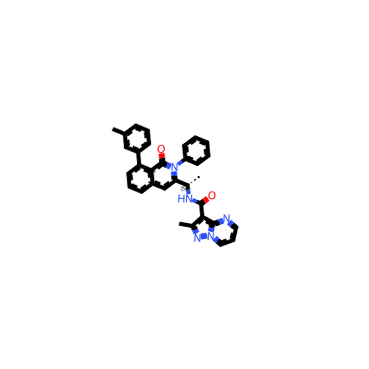 Cc1cccc(-c2cccc3cc([C@H](C)NC(=O)c4c(C)nn5cccnc45)n(-c4ccccc4)c(=O)c23)c1